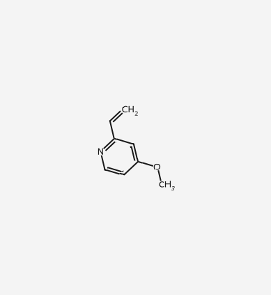 C=Cc1cc(OC)ccn1